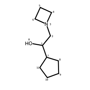 OC(CN1CCC1)C1CCCC1